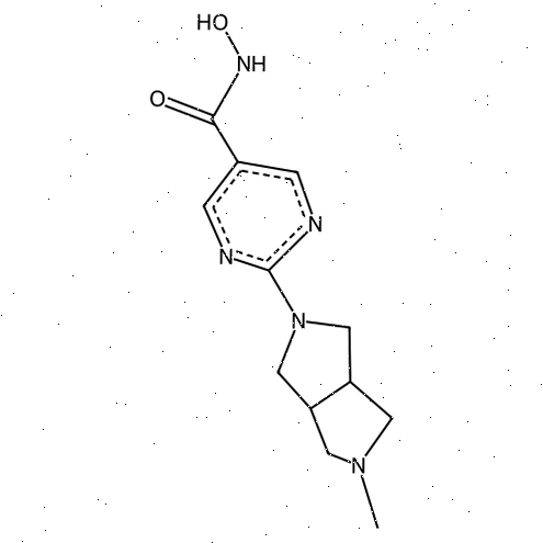 CN1CC2CN(c3ncc(C(=O)NO)cn3)CC2C1